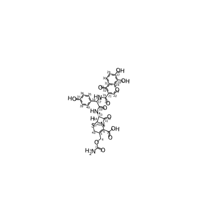 NC(=O)OCC1=C(C(=O)O)N2C(=O)[C@@H](NC(=O)C(NC(=O)c3coc4c(O)c(O)ccc4c3=O)c3ccc(O)cc3)[C@@H]2SC1